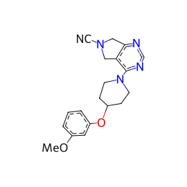 COc1cccc(OC2CCN(c3ncnc4c3CN(C#N)C4)CC2)c1